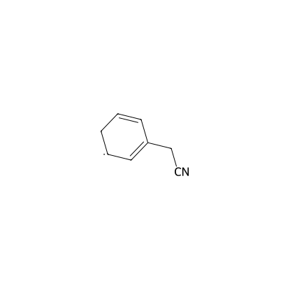 N#CCC1=C[CH]CC=C1